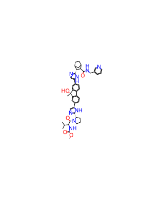 COC(=O)N[C@H](C(=O)N1CCC[C@H]1c1ncc(-c2ccc3c(c2)[C@](C)(O)c2cc(-c4cnc([C@@H]5C6CCC(C6)C5C(=O)NCc5cccnc5)[nH]4)ccc2-3)[nH]1)C(C)C